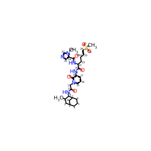 CC1CC2CCCC(C2)C1NC(=O)Cn1cccc(NC(=O)C(CC/C=C/S(C)(=O)=O)NC(=O)c2cncn2C)c1=O